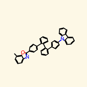 Cc1cccc2nc(-c3ccc(-c4ccccc4-c4ccccc4-c4ccc(-n5c6ccccc6c6ccccc65)cc4)cc3)oc12